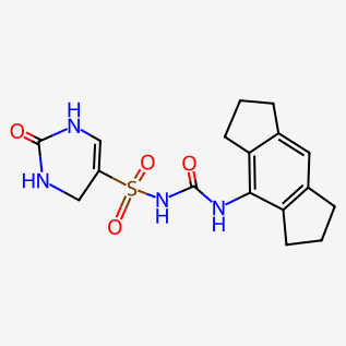 O=C1NC=C(S(=O)(=O)NC(=O)Nc2c3c(cc4c2CCC4)CCC3)CN1